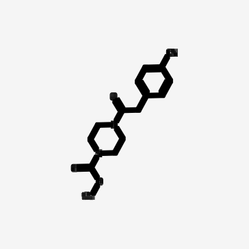 CC(C)(C)OC(=O)N1CCN(C(=O)Cc2ccc(C#N)cc2)CC1